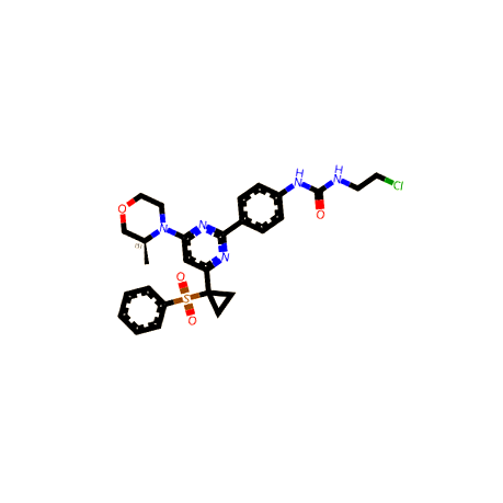 C[C@H]1COCCN1c1cc(C2(S(=O)(=O)c3ccccc3)CC2)nc(-c2ccc(NC(=O)NCCCl)cc2)n1